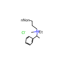 CCCCCCCCCCCC[N+](C)(CC)C(C)c1ccccc1.[Cl-]